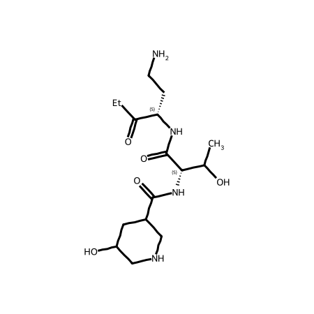 CCC(=O)[C@H](CCN)NC(=O)[C@@H](NC(=O)C1CNCC(O)C1)C(C)O